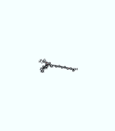 CCN(CC)c1ccc(NC(=O)c2cccc(CCCOCCOCCOCCOCCOCCOCCC(=O)O)c2)c(-c2cc(C(=O)NC3CCCc4ccccc43)ccn2)c1